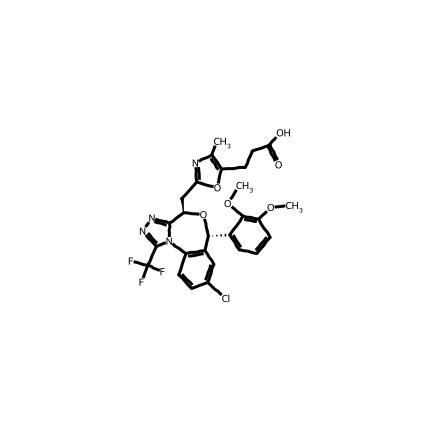 COc1cccc([C@H]2O[C@H](Cc3nc(C)c(CCC(=O)O)o3)c3nnc(C(F)(F)F)n3-c3ccc(Cl)cc32)c1OC